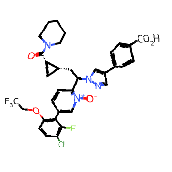 O=C(O)c1ccc(-c2cnn(C(C[C@@H]3C[C@@H]3C(=O)N3CCCCC3)c3ccc(-c4c(OCC(F)(F)F)ccc(Cl)c4F)c[n+]3[O-])c2)cc1